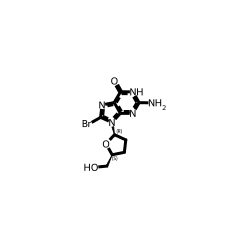 Nc1nc2c(nc(Br)n2[C@H]2CC[C@@H](CO)O2)c(=O)[nH]1